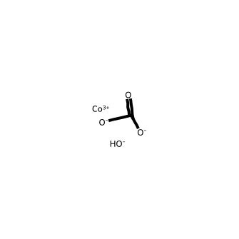 O=C([O-])[O-].[Co+3].[OH-]